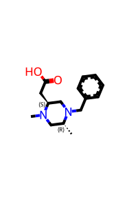 C[C@@H]1CN(C)[C@@H](CC(=O)O)CN1Cc1ccccc1